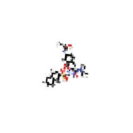 CCN(CC)C(=O)C(Cc1ccc(NC(=O)C(C)C)cc1)C(=O)NS(=O)(=O)c1ccc2ccccc2c1